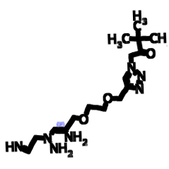 CC(C)(C)C(=O)Cn1cc(COCCOC/C(N)=C/N(N)CC=N)nn1